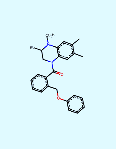 CCC1CN(C(=O)c2ccccc2COc2ccccc2)c2cc(C)c(C)cc2N1C(=O)O